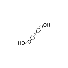 CC(C)(c1ccc(OCO)cc1)c1ccc(OCCO)cc1